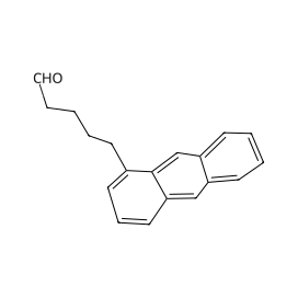 O=CCCCCc1cccc2cc3ccccc3cc12